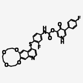 O=C(Nc1ccc(Sc2ccnc3cc4c(cc23)OCCOCCOCCO4)c(F)c1)Oc1c[nH]cc(-c2ccc(F)cc2)c1=O